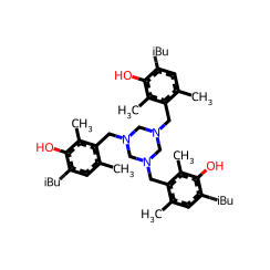 CCC(C)c1cc(C)c(CN2CN(Cc3c(C)cc(C(C)CC)c(O)c3C)CN(Cc3c(C)cc(C(C)CC)c(O)c3C)C2)c(C)c1O